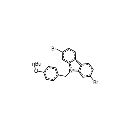 CCCCOc1ccc(Cn2c3cc(Br)ccc3c3ccc(Br)cc32)cc1